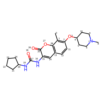 Cc1c(OC2CCN(C)CC2)ccc2cc(NC(=O)NC3CCCC3)c(=O)oc12